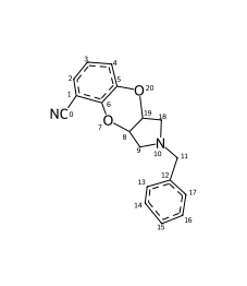 N#Cc1cccc2c1OC1CN(Cc3ccccc3)CC1O2